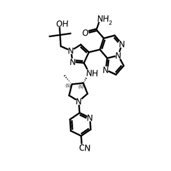 C[C@H]1CN(c2ccc(C#N)cn2)C[C@H]1Nc1nn(CC(C)(C)O)cc1-c1c(C(N)=O)cnn2ccnc12